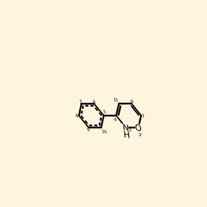 C1=CONC(c2ccccc2)=C1